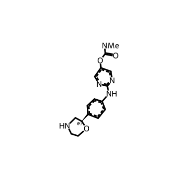 CNC(=O)Oc1cnc(Nc2ccc([C@@H]3CNCCO3)cc2)nc1